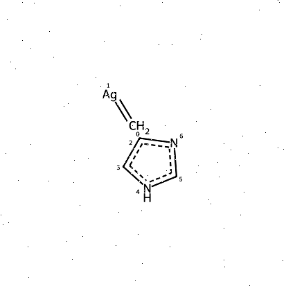 [CH2]=[Ag].c1c[nH]cn1